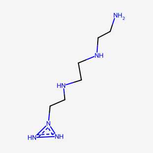 NCCNCCNCCn1[nH][nH]1